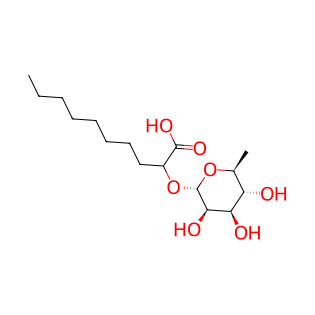 CCCCCCCCC(O[C@@H]1O[C@@H](C)[C@H](O)[C@@H](O)[C@H]1O)C(=O)O